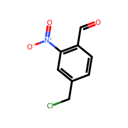 O=Cc1ccc(CCl)cc1[N+](=O)[O-]